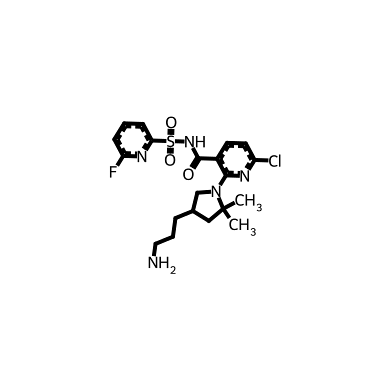 CC1(C)CC(CCCN)CN1c1nc(Cl)ccc1C(=O)NS(=O)(=O)c1cccc(F)n1